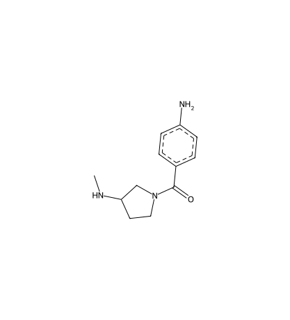 CNC1CCN(C(=O)c2ccc(N)cc2)C1